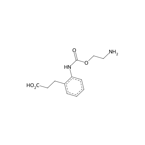 NCCOC(=O)Nc1ccccc1CCC(=O)O